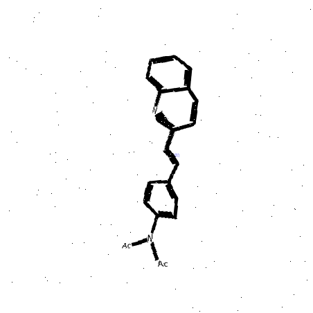 CC(=O)N(C(C)=O)c1ccc(/C=C/c2ccc3ccccc3n2)cc1